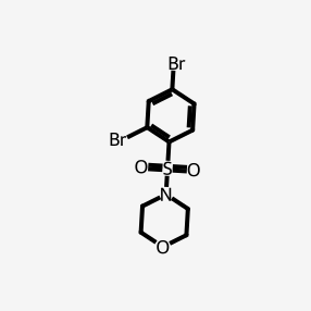 O=S(=O)(c1ccc(Br)cc1Br)N1CCOCC1